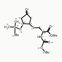 COC(=O)[C@H](CSC1CC(=O)C[C@@H]1O[Si](C)(C)C(C)(C)C)NC(=O)OC(C)(C)C